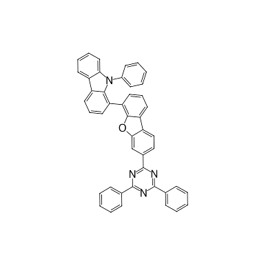 c1ccc(-c2nc(-c3ccccc3)nc(-c3ccc4c(c3)oc3c(-c5cccc6c7ccccc7n(-c7ccccc7)c56)cccc34)n2)cc1